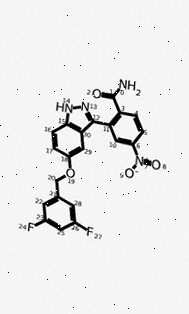 NC(=O)c1ccc([N+](=O)[O-])cc1-c1n[nH]c2ccc(OCc3cc(F)cc(F)c3)cc12